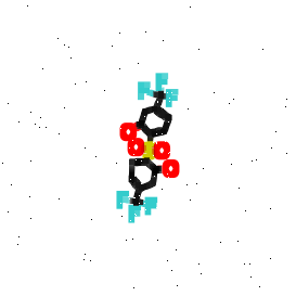 O=C1CC(C(F)(F)F)=CC=C1S(=O)(=O)C1=CC=C(C(F)(F)F)CC1=O